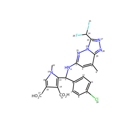 Cc1cc(NC(c2ccc(Cl)cc2)c2c(C(=O)O)c(C(=O)O)cn2C)nn2c(C(F)F)nnc12